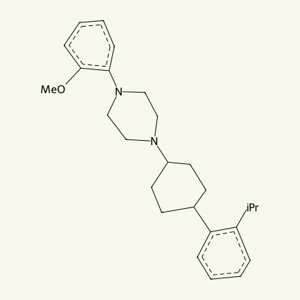 COc1ccccc1N1CCN(C2CCC(c3ccccc3C(C)C)CC2)CC1